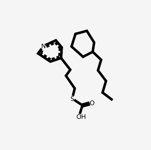 CCCCCC1CCCCC1.O=C(O)SCCCc1ccncc1